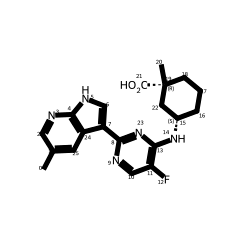 Cc1cnc2[nH]cc(-c3ncc(F)c(N[C@H]4CCC[C@@](C)(C(=O)O)C4)n3)c2c1